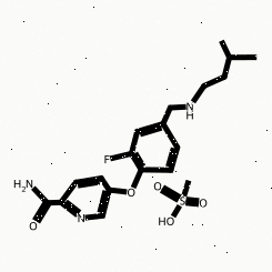 CC(C)CCNCc1ccc(Oc2ccc(C(N)=O)nc2)c(F)c1.CS(=O)(=O)O